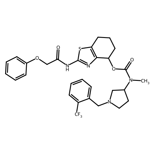 CN(C(=O)OC1CCCc2sc(NC(=O)COc3ccccc3)nc21)C1CCN(Cc2ccccc2C(F)(F)F)C1